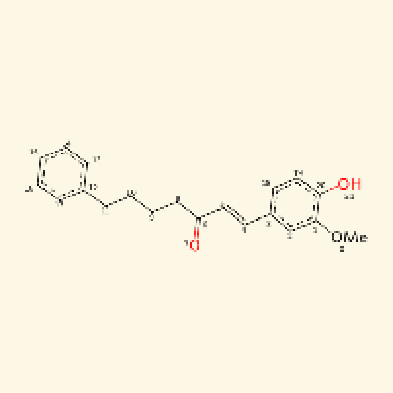 COc1cc(/C=C/C(=O)CCCCc2ccccc2)ccc1O